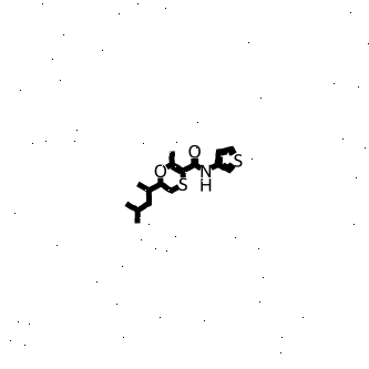 CC1=C(C(=O)Nc2ccsc2)SCC(C(C)CC(C)C)O1